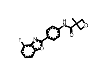 CC1(C(=O)Nc2ccc(-c3nc4c(F)cccc4o3)cc2)COC1